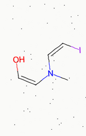 CN(/C=C\O)/C=C\I